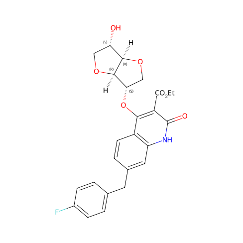 CCOC(=O)c1c(O[C@H]2CO[C@H]3[C@@H]2OC[C@@H]3O)c2ccc(Cc3ccc(F)cc3)cc2[nH]c1=O